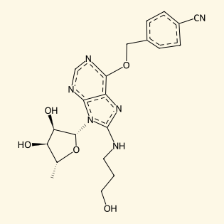 C[C@H]1O[C@@H](n2c(NCCCO)nc3c(OCc4ccc(C#N)cc4)ncnc32)[C@H](O)[C@@H]1O